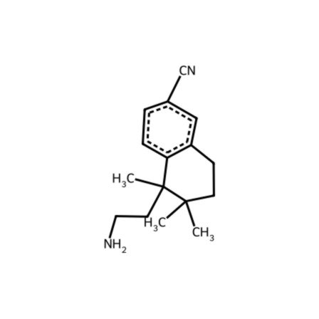 CC1(C)CCc2cc(C#N)ccc2C1(C)CCN